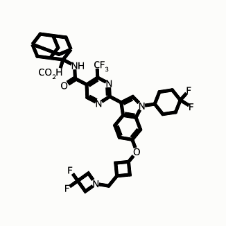 O=C(NC1(C(=O)O)C2CC3CC(C2)CC1C3)c1cnc(-c2cn(C3CCC(F)(F)CC3)c3cc(OC4CC(CN5CC(F)(F)C5)C4)ccc23)nc1C(F)(F)F